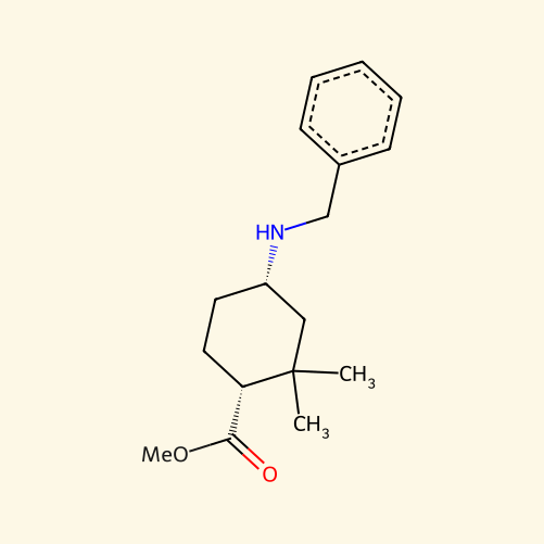 COC(=O)[C@@H]1CC[C@H](NCc2ccccc2)CC1(C)C